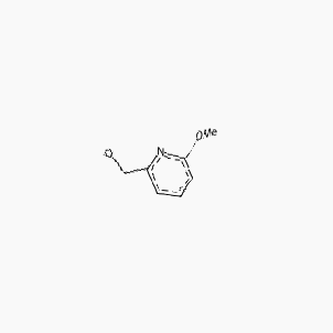 COc1cccc(C[O])n1